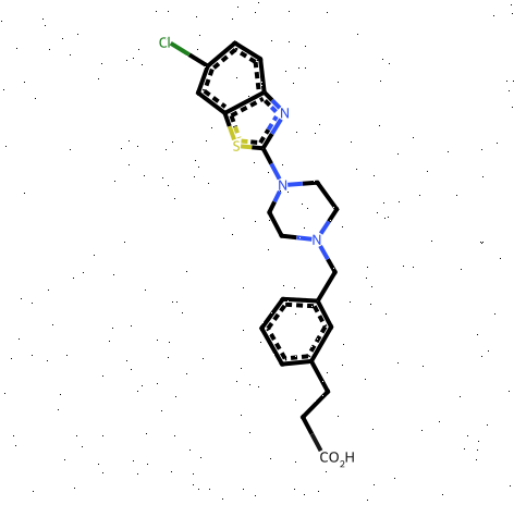 O=C(O)CCc1cccc(CN2CCN(c3nc4ccc(Cl)cc4s3)CC2)c1